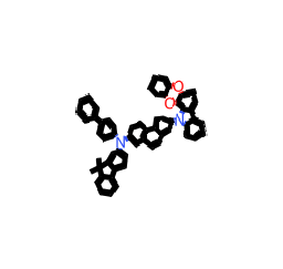 CC1(C)c2ccccc2-c2ccc(N(c3ccc(-c4ccccc4)cc3)c3ccc4c(ccc5cc(-n6c7ccccc7c7ccc8c(c76)Oc6ccccc6O8)ccc54)c3)cc21